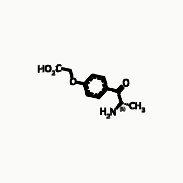 C[C@H](N)C(=O)c1ccc(OCC(=O)O)cc1